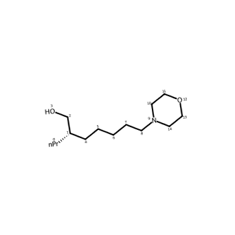 CCC[C@H](CO)CCCCCN1CCOCC1